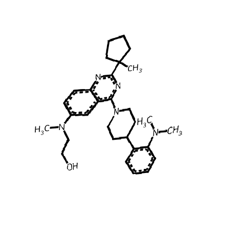 CN(C)c1ccccc1C1CCN(c2nc(C3(C)CCCC3)nc3ccc(N(C)CCO)cc23)CC1